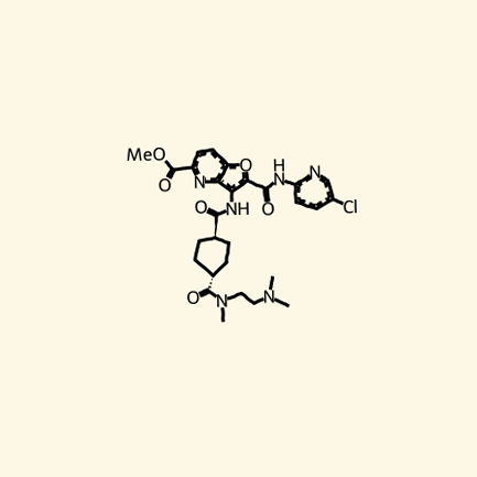 COC(=O)c1ccc2oc(C(=O)Nc3ccc(Cl)cn3)c(NC(=O)[C@H]3CC[C@H](C(=O)N(C)CCN(C)C)CC3)c2n1